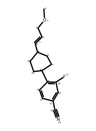 COC/C=C/C1CCC(c2ccc(C#N)cc2F)CC1